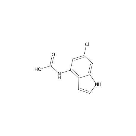 O=C(O)Nc1cc(Cl)cc2[nH]ccc12